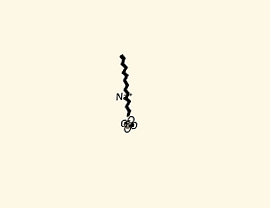 C=CCCCCCCCCCCCCCOS(=O)(=O)[O-].[Na+]